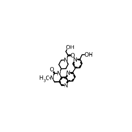 CN1Cc2cnc3ccc(-c4ccc(CO)nc4)nc3c2N(C2CCN(C(=O)CO)CC2)C1=O